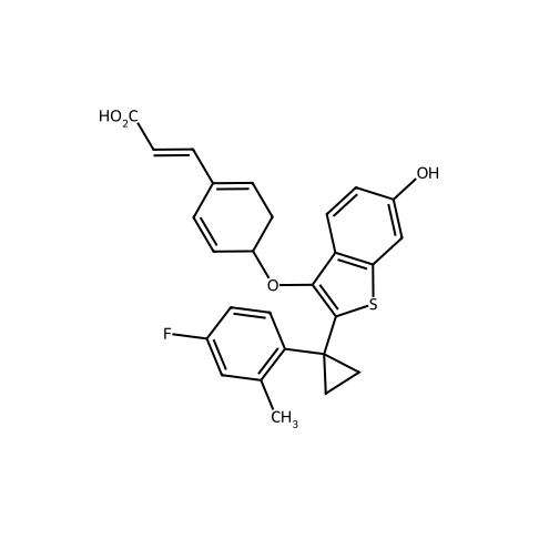 Cc1cc(F)ccc1C1(c2sc3cc(O)ccc3c2OC2C=CC(/C=C/C(=O)O)=CC2)CC1